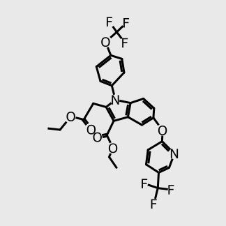 CCOC(=O)Cc1c(C(=O)OCC)c2cc(Oc3ccc(C(F)(F)F)cn3)ccc2n1-c1ccc(OC(F)(F)F)cc1